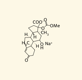 COC(=O)OC1(C(=O)[O-])CC[C@H]2[C@@H]3CCC4=CC(=O)CC[C@]4(C)[C@@H]3C(O)C[C@@]21C.[Na+]